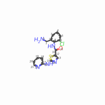 NCc1cccc(Cl)c1NC(=O)c1cnc(Nc2ccccn2)s1